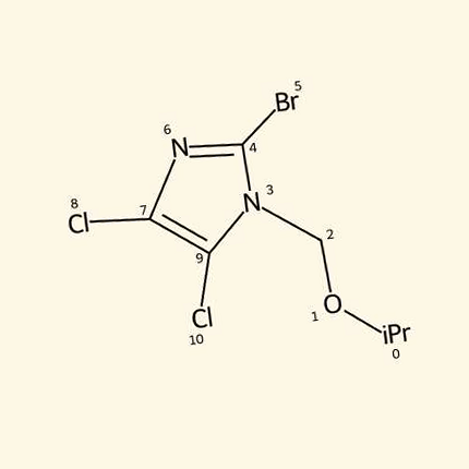 CC(C)OCn1c(Br)nc(Cl)c1Cl